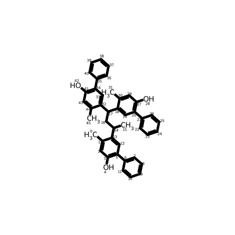 Cc1cc(O)c(-c2ccccc2)cc1C(C)CC(c1cc(-c2ccccc2)c(O)cc1C)c1cc(-c2ccccc2)c(O)cc1C